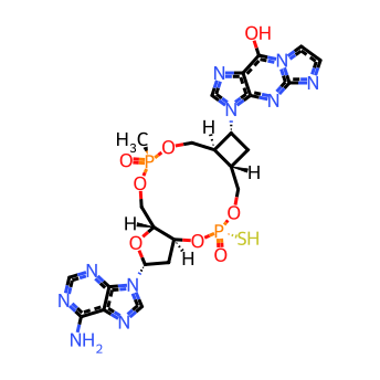 C[P@@]1(=O)OC[C@@H]2[C@@H](CO[P@](=O)(S)O[C@H]3C[C@H](n4cnc5c(N)ncnc54)O[C@@H]3CO1)C[C@H]2n1cnc2c(O)n3ccnc3nc21